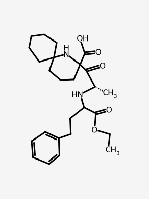 CCOC(=O)C(CCc1ccccc1)N[C@@H](C)C(=O)C1(C(=O)O)CCCC2(CCCCC2)N1